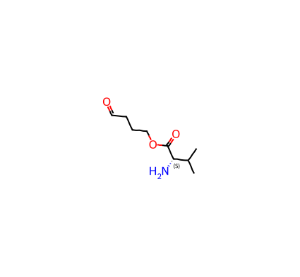 CC(C)[C@H](N)C(=O)OCCCC=O